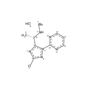 C[C@H](NC(C)(C)C)c1nc(Cl)nn1-c1ncccn1.Cl